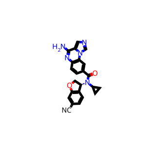 N#Cc1ccc2c(c1)OC[C@@H]2N(C(=O)c1ccc2nc(N)c3cncn3c2c1)C1CC1